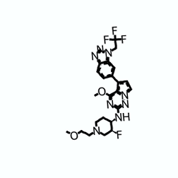 COCCN1CC[C@@H](Nc2nc(OC)c3c(-c4ccc5nnn(CC(F)(F)F)c5c4)ccn3n2)[C@@H](F)C1